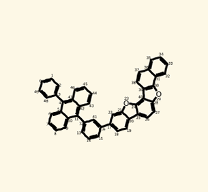 c1ccc(-c2c3ccccc3c(-c3cccc(-c4ccc5c(c4)oc4c5ccc5oc6c7ccccc7ccc6c54)c3)c3ccccc23)cc1